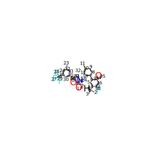 [2H]C(C)(C)c1cc(-c2ccc(C)cc2CN2C(=O)O[C@H](c3cc(C)cc(C(F)(F)F)c3)[C@@H]2C)c(OC)cc1F